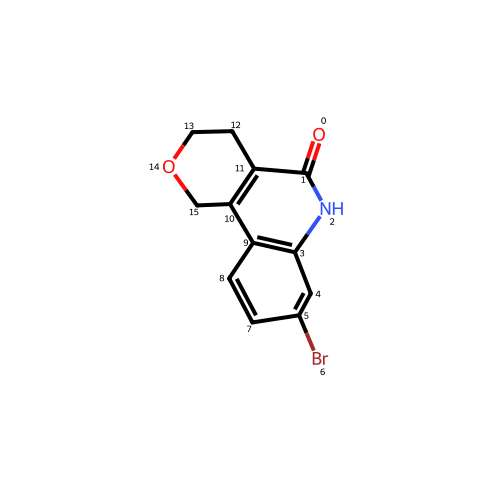 O=c1[nH]c2cc(Br)ccc2c2c1CCOC2